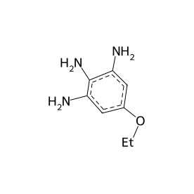 [CH2]COc1cc(N)c(N)c(N)c1